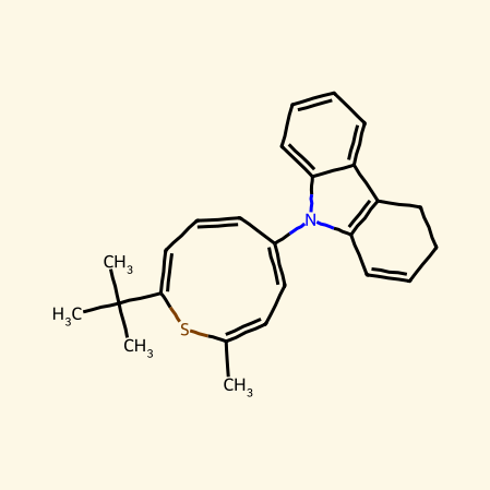 Cc1ccc(-n2c3c(c4ccccc42)CCC=C3)cccc(C(C)(C)C)s1